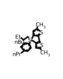 CCCCC(CC)C[Si]1(c2ccc(CCC)cc2)c2cc(C)sc2-c2sc(C)cc21